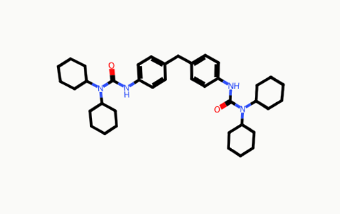 O=C(Nc1ccc(Cc2ccc(NC(=O)N(C3CCCCC3)C3CCCCC3)cc2)cc1)N(C1CCCCC1)C1CCCCC1